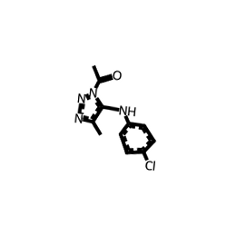 CC(=O)n1nnc(C)c1Nc1ccc(Cl)cc1